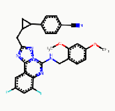 COc1ccc(CNc2nc3c(F)cc(F)cc3c3nc(CC4CC4c4ccc(C#N)cc4)nn23)c(OC)c1